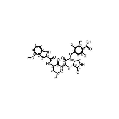 COc1cccc2[nH]c(C(=O)NC(CC(C)C)C(=O)NC(C[C@@H]3CCNC3=O)C(=O)COc3cc(C)c(C(=O)O)c(C)c3C)cc12